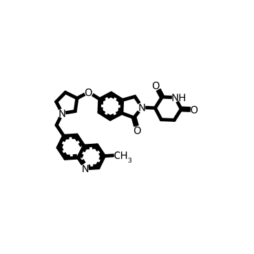 Cc1cnc2ccc(CN3CCC(Oc4ccc5c(c4)CN(C4CCC(=O)NC4=O)C5=O)C3)cc2c1